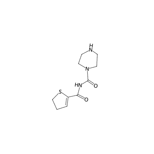 O=C(NC(=O)N1CCNCC1)C1=CCCS1